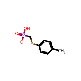 Cc1ccc(SCP(=O)(O)O)cc1